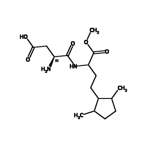 COC(=O)C(CCC1C(C)CCC1C)NC(=O)[C@@H](N)CC(=O)O